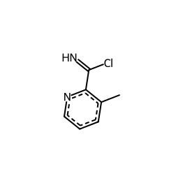 Cc1cccnc1C(=N)Cl